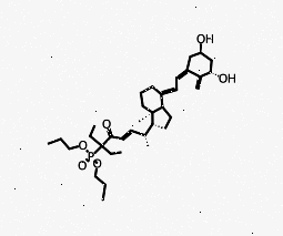 C=C1/C(=C\C=C2/CCC[C@@]3(C)C2CC[C@@H]3[C@H](C)/C=C/C(=O)C(CC)(CC)P(=O)(OCCC)OCCC)C[C@@H](O)C[C@@H]1O